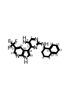 Nc1cnc(NC2CCCc3ccccc32)nc1-c1c[nH]c2ncc(C(F)(F)F)cc12